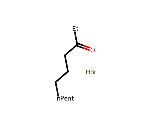 Br.CCCCCCCCC(=O)CC